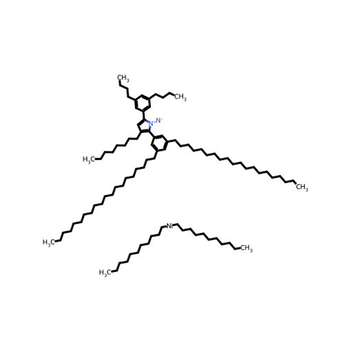 CCCCCCCCCCCCCCCCCCCCc1cc(CCCCCCCCCCCCCCCCCCCC)cc(C2=C(CCCCCCCC)C=C(c3cc(CCCC)cc(CCCC)c3)[N+]2=[N-])c1.CCCCCCCCCC[CH2][Ni][CH2]CCCCCCCCCC